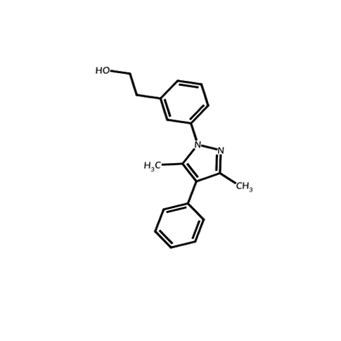 Cc1nn(-c2cccc(CCO)c2)c(C)c1-c1ccccc1